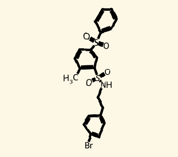 Cc1ccc(S(=O)(=O)c2ccccc2)cc1S(=O)(=O)NCCc1ccc(Br)cc1